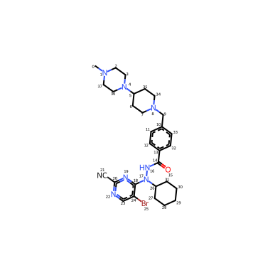 CN1CCN(C2CCN(Cc3ccc(C(=O)NN(c4nc(C#N)ncc4Br)C4CCCCC4)cc3)CC2)CC1